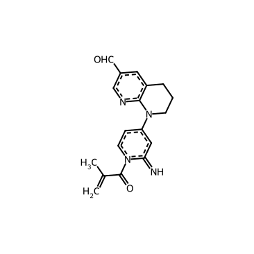 C=C(C)C(=O)n1ccc(N2CCCc3cc(C=O)cnc32)cc1=N